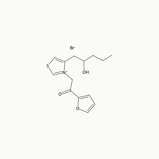 CCCC(O)Cc1csc[n+]1CC(=O)c1ccco1.[Br-]